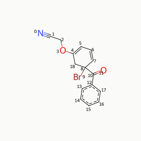 N#CCOC1=CC=CC(Br)(C(=O)c2ccccc2)C1